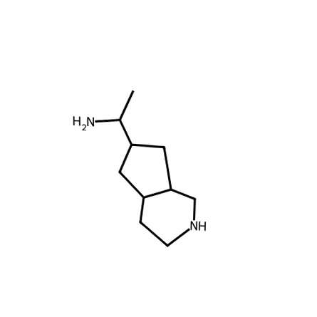 CC(N)C1CC2CCNCC2C1